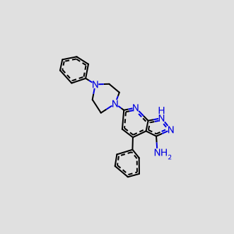 Nc1n[nH]c2nc(N3CCN(c4ccccc4)CC3)cc(-c3ccccc3)c12